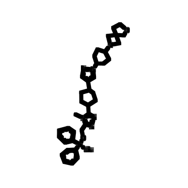 Cn1c(CO[Si](c2ccccc2)(c2ccccc2)C(C)(C)C)nnc1C1CCC(c2cnn(C3CCC(N4CC5(CCOC5)C4)CC3)c2)CC1